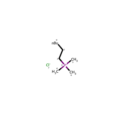 CCCCCC[P+](C)(C)C.[Cl-]